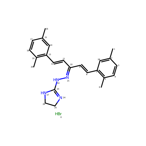 Br.Cc1ccc(C)c(C=CC(C=Cc2cc(C)ccc2C)=NNC2=NCCN2)c1